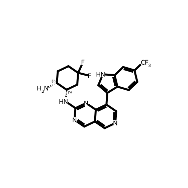 N[C@@H]1CCC(F)(F)C[C@@H]1Nc1ncc2cncc(-c3c[nH]c4cc(C(F)(F)F)ccc34)c2n1